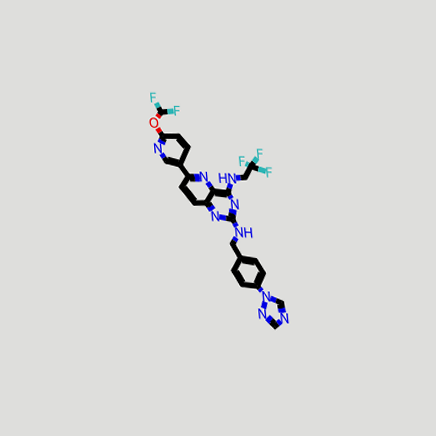 FC(F)Oc1ccc(-c2ccc3nc(NCc4ccc(-n5cncn5)cc4)nc(NCC(F)(F)F)c3n2)cn1